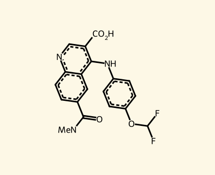 CNC(=O)c1ccc2ncc(C(=O)O)c(Nc3ccc(OC(F)F)cc3)c2c1